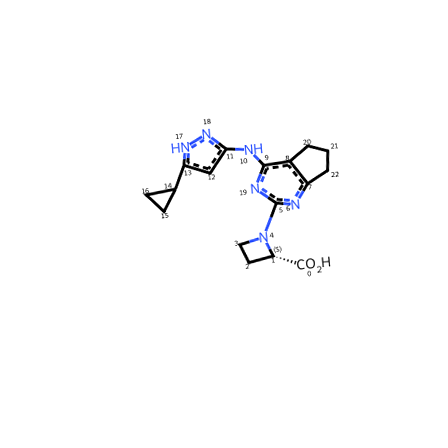 O=C(O)[C@@H]1CCN1c1nc2c(c(Nc3cc(C4CC4)[nH]n3)n1)CCC2